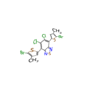 Cc1cc(-c2c(Cl)c(Cl)c(-c3cc(C)c(Br)s3)c3nsnc23)sc1Br